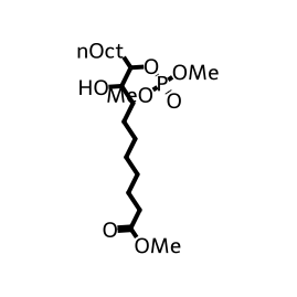 CCCCCCCCC(OP(=O)(OC)OC)C(O)CCCCCCCC(=O)OC